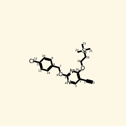 C#Cc1cnc(OCc2ccc(Cl)cc2)nc1OCC[Si](C)(C)C